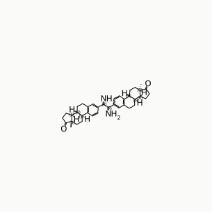 C[C@@]12CC[C@H]3c4ccc([C@@H](N)[C@H](N)c5ccc6c(c5)CC[C@@H]5[C@@H]6CC[C@]6(C)C(=O)CC[C@@H]56)cc4CC[C@@H]3[C@H]1CCC2=O